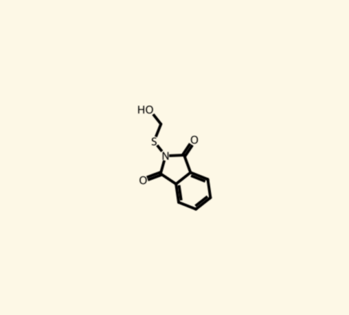 O=C1c2ccccc2C(=O)N1SCO